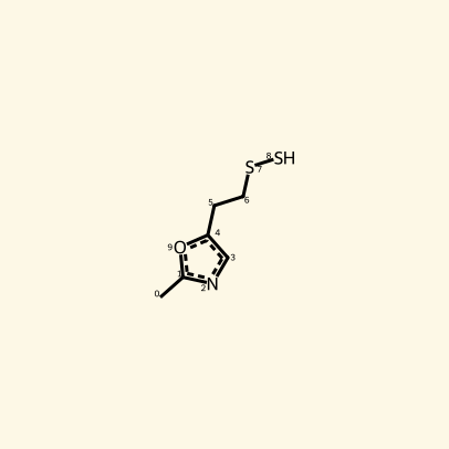 Cc1ncc(CCSS)o1